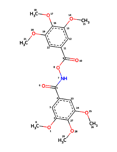 COc1cc(C(=O)NOC(=O)c2cc(OC)c(OC)c(OC)c2)cc(OC)c1OC